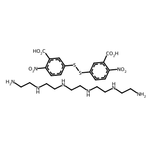 NCCNCCNCCNCCNCCN.O=C(O)c1cc(SSc2ccc([N+](=O)[O-])c(C(=O)O)c2)ccc1[N+](=O)[O-]